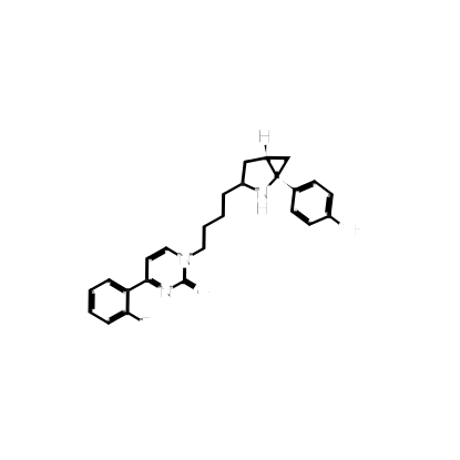 O=c1nc(-c2ccccc2F)ccn1CCCCC1C[C@@H]2C[C@]2(c2ccc(C(F)(F)F)cc2)N1